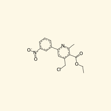 CCOC(=O)c1c(CCl)cc(-c2cccc([N+](=O)[O-])c2)nc1C